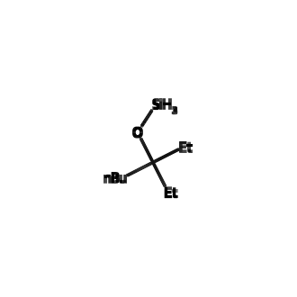 CCCCC(CC)(CC)O[SiH3]